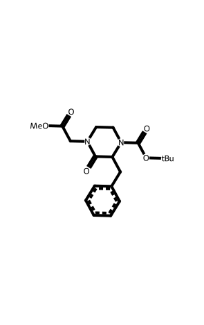 COC(=O)CN1CCN(C(=O)OC(C)(C)C)C(Cc2ccccc2)C1=O